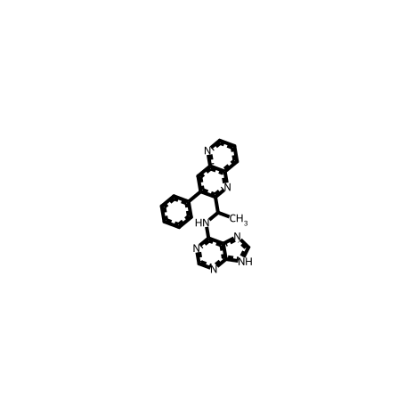 CC(Nc1ncnc2[nH]cnc12)c1nc2cccnc2cc1-c1ccccc1